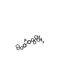 C=C(C)C(=O)Oc1ccc(-c2ccc(OC3CCCCO3)cc2)c(F)c1